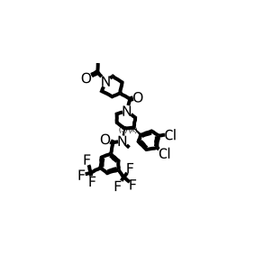 CC(=O)N1CCC(C(=O)N2CC[C@H](N(C)C(=O)c3cc(C(F)(F)F)cc(C(F)(F)F)c3)[C@H](c3ccc(Cl)c(Cl)c3)C2)CC1